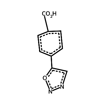 O=C(O)c1ccc(-c2cnno2)cc1